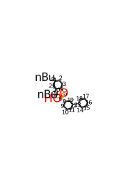 CCCCc1ccc(OP(O)c2cccc(-c3ccccc3)c2)c(CCCC)c1